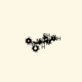 Cc1cn2c(-c3cn[nH]c3)cnc2c(Nc2cc(C(CSc3ccccc3)N3CCCCCC3)ns2)n1